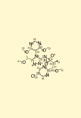 COCc1nnc(NS(=O)(=O)[C@@H](C)[C@H](OC)c2ncc(Cl)cn2)n1-c1c(OC)ncnc1OC